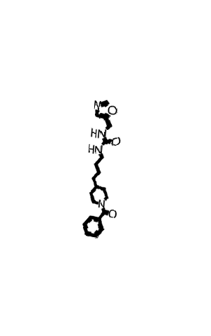 O=C(NCCCCC1CCN(C(=O)c2ccccc2)CC1)NCc1cnco1